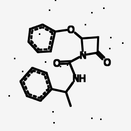 CC(NC(=O)N1C(=O)CC1Oc1ccccc1)c1ccccc1